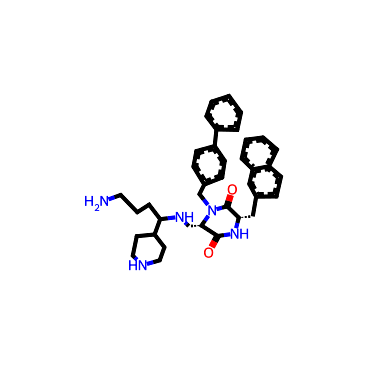 NCCCC(NC[C@H]1C(=O)N[C@@H](Cc2ccc3ccccc3c2)C(=O)N1Cc1ccc(-c2ccccc2)cc1)C1CCNCC1